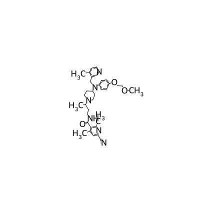 COCCOc1ccc(N(Cc2cnccc2C)C2CCN([C@H](C)CCNC(=O)c3c(C)cc(C#N)nc3C)CC2)cc1